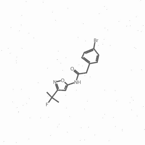 CC(C)(F)c1cc(NC(=O)Cc2ccc(Br)cc2)on1